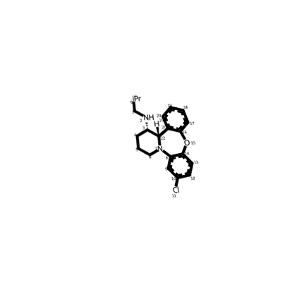 CC(C)CN[C@H]1CCCN2c3cc(Cl)ccc3Oc3ccccc3[C@@H]12